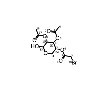 CC(=O)O[C@H]1[C@@H](OC(=O)CBr)COC(O)[C@@H]1OC(C)=O